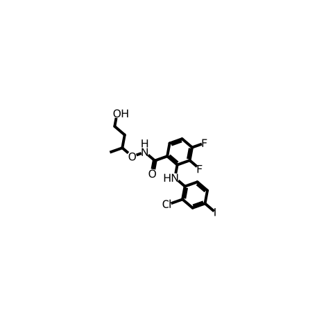 CC(CCO)ONC(=O)c1ccc(F)c(F)c1Nc1ccc(I)cc1Cl